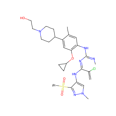 C=C(Cl)/C(=N\C(=N/C)Nc1cc(C)c(C2CCN(CCO)CC2)cc1OC1CC1)Nc1cn(C)nc1S(=O)(=O)C(C)C